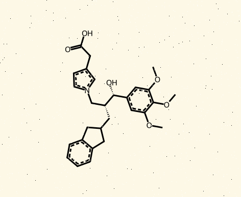 COc1cc([C@@H](O)[C@H](CC2Cc3ccccc3C2)Cn2ccc(CC(=O)O)c2)cc(OC)c1OC